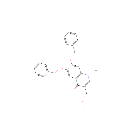 NOCc1cn(CC(=O)O)c2cc(OCc3ccccc3)c(OCc3ccccc3)cc2c1=O